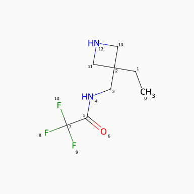 CCC1(CNC(=O)C(F)(F)F)CNC1